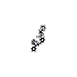 Cn1nnnc1/C(=N\OCc1cccc(NC(=O)OC(C)(C)C2OCCCO2)n1)c1ccccc1